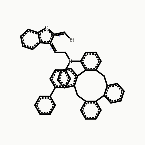 CC/C=c1/oc2ccccc2/c1=C/CN(c1ccc(-c2ccccc2)cc1)c1cccc2c1-c1ccccc1Cc1ccccc1-c1ccccc1C2